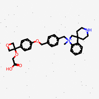 C[N+]1(Cc2ccc(COc3ccc(C4(OCC(=O)O)COC4)cc3)cc2)CC2(CCNCC2)c2ccccc21